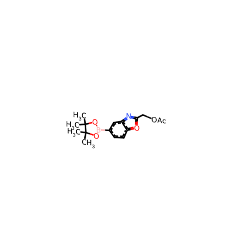 CC(=O)OCc1nc2cc(B3OC(C)(C)C(C)(C)O3)ccc2o1